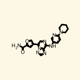 NC(=O)c1cc(-c2cnc(Nc3ccc(N4CCCCC4)nc3)c3ncnn23)co1